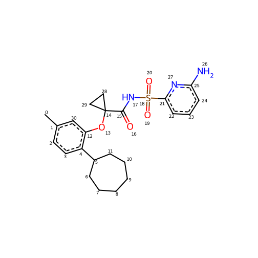 Cc1ccc(C2CCCCCC2)c(OC2(C(=O)NS(=O)(=O)c3cccc(N)n3)CC2)c1